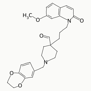 COc1ccc2ccc(=O)n(CCCC3(C=O)CCN(Cc4ccc5c(c4)OCCO5)CC3)c2c1